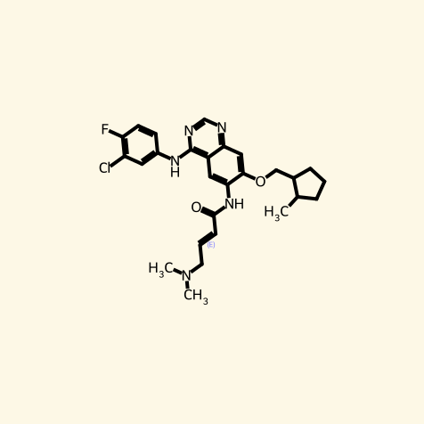 CC1CCCC1COc1cc2ncnc(Nc3ccc(F)c(Cl)c3)c2cc1NC(=O)/C=C/CN(C)C